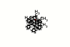 Cc1cc(C)c(B2c3cc4c(cc3N(c3ccccc3)c3ncccc32)N(c2ccccc2)c2ncccc2B4c2c(C)cc(C)cc2C)c(C)c1